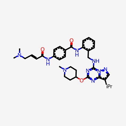 CC(C)c1cnn2c(NCc3ccccc3NC(=O)c3ccc(NC(=O)C=CCN(C)C)cc3)nc(OC3CCN(C)CC3)nc12